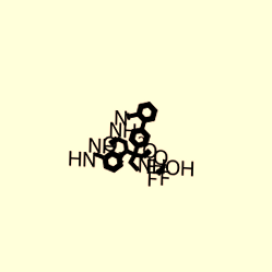 N#Cc1ccccc1-c1ccc(C2(C(CC(N)=O)c3cccc(C(=N)N)c3)CCNC2=O)cc1.O=C(O)C(F)(F)F